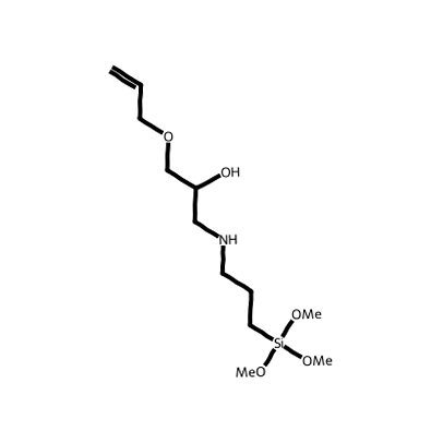 C=CCOCC(O)CNCCC[Si](OC)(OC)OC